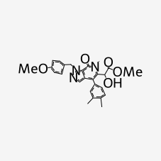 COC(=O)C(O)c1c(-c2ccc(C)c(C)c2)c2cnn(Cc3ccc(OC)cc3)c2c(=O)n1C